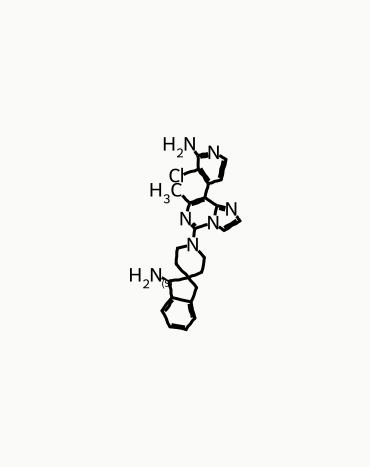 Cc1nc(N2CCC3(CC2)Cc2ccccc2[C@H]3N)n2ccnc2c1-c1ccnc(N)c1Cl